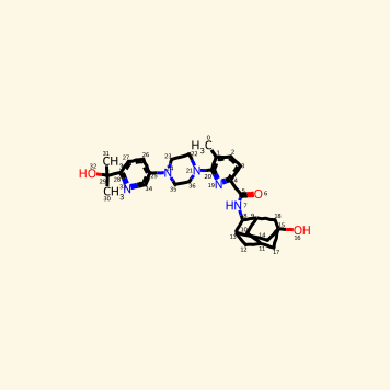 Cc1ccc(C(=O)NC2C3CC4CC2CC(O)(C4)C3)nc1N1CCN(c2ccc(C(C)(C)O)nc2)CC1